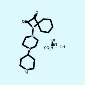 Cl.Cl.O=C(O)O.O=C1C(=O)C2(CCCCC2)N1N1CCN(C2CCNCC2)CC1